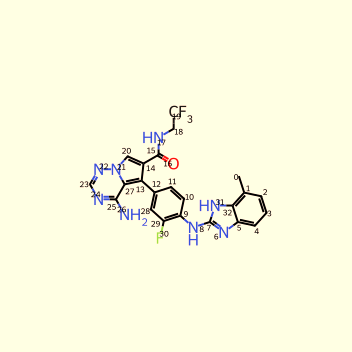 Cc1cccc2nc(Nc3ccc(-c4c(C(=O)NCC(F)(F)F)cn5ncnc(N)c45)cc3F)[nH]c12